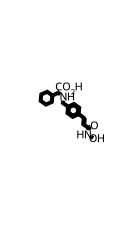 O=C(/C=C/c1ccc(CN[C@@H](C(=O)O)C2CCCCC2)cc1)NO